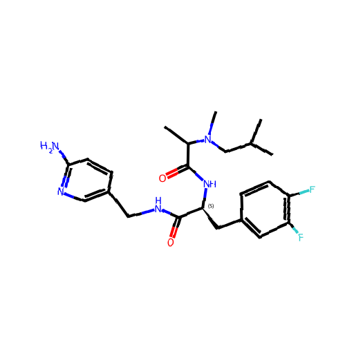 CC(C)CN(C)C(C)C(=O)N[C@@H](Cc1ccc(F)c(F)c1)C(=O)NCc1ccc(N)nc1